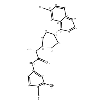 C[C@@H](C(=O)Nc1ccc(Cl)c(O)c1)[C@H]1CC[C@@H](c2ccnc3ccc(F)cc32)CC1